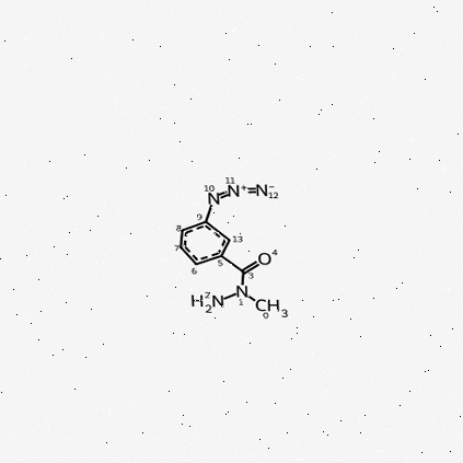 CN(N)C(=O)c1cccc(N=[N+]=[N-])c1